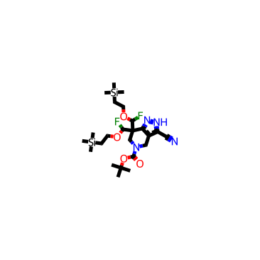 CC(C)(C)OC(=O)N1Cc2c(n[nH]c2C#N)C(C(F)OCC[Si](C)(C)C)(C(F)OCC[Si](C)(C)C)C1